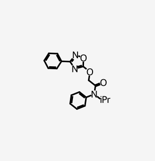 CC(C)N(C(=O)COc1nc(-c2ccccc2)no1)c1ccccc1